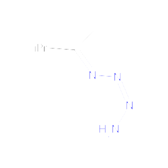 C/C(=N\N=N/N)C(C)C